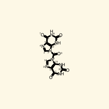 O=C(n1cnc2c(=O)[nH]c(=O)[nH]c21)n1cnc2c(=O)[nH]c(=O)[nH]c21